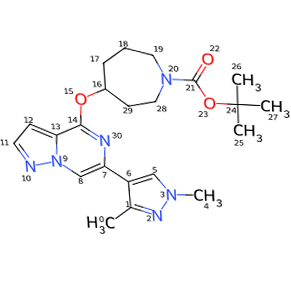 Cc1nn(C)cc1-c1cn2nccc2c(OC2CCCN(C(=O)OC(C)(C)C)CC2)n1